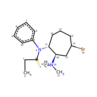 CCC(=S)N(c1ccccc1)[C@@H]1CCCC(Br)C[C@H]1N(C)C